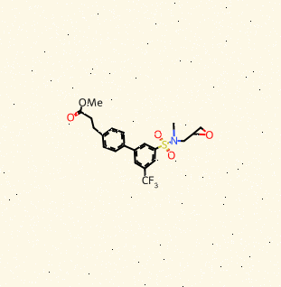 COC(=O)CCc1ccc(-c2cc(C(F)(F)F)cc(S(=O)(=O)N(C)CC3CO3)c2)cc1